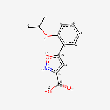 CC(C)Oc1ccccc1-c1cc(C(=O)O)no1